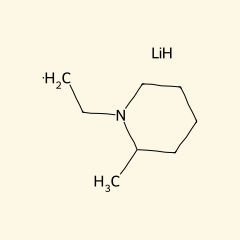 [CH2]CN1CCCCC1C.[LiH]